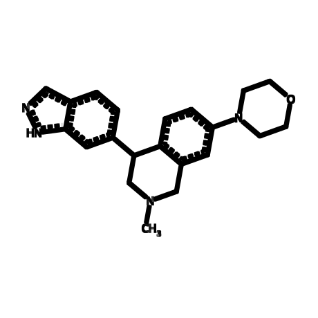 CN1Cc2cc(N3CCOCC3)ccc2C(c2ccc3cn[nH]c3c2)C1